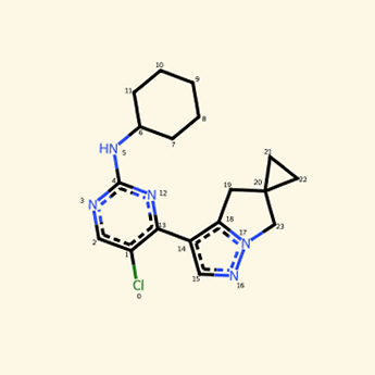 Clc1cnc(NC2CCCCC2)nc1-c1cnn2c1CC1(CC1)C2